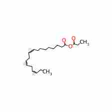 CC/C=C\C/C=C\C/C=C\CCCCCCCC(=O)OC(=O)CC